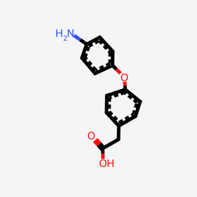 Nc1ccc(Oc2ccc(CC(=O)O)cc2)cc1